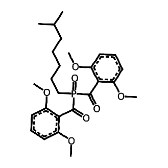 COc1cccc(OC)c1C(=O)P(=O)(CCCCCC(C)C)C(=O)c1c(OC)cccc1OC